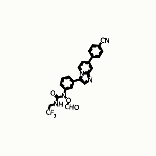 N#Cc1ccc(-c2ccn3c(-c4cccc(N(OC=O)C(=O)NCC(F)(F)F)c4)cnc3c2)cc1